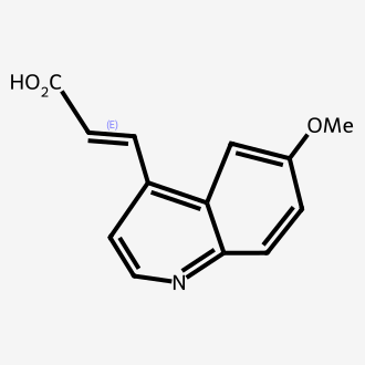 COc1ccc2nccc(/C=C/C(=O)O)c2c1